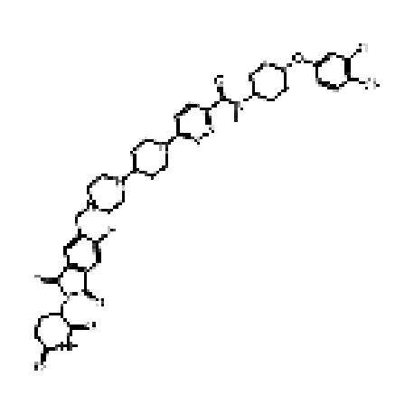 N#Cc1ccc(O[C@H]2CC[C@H](NC(=O)c3ccc(N4CCC(N5CCN(Cc6cc7c(cc6F)C(=O)N(C6CCC(=O)NC6=O)C7=O)CC5)CC4)nn3)CC2)cc1Cl